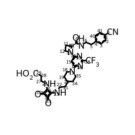 N#Cc1ccc(CCNC(=O)[C@@H]2CCN2c2cc(N3CCC(CCNc4c(NCCC(=O)O)c(=O)c4=O)CC3)nc(C(F)(F)F)n2)cc1